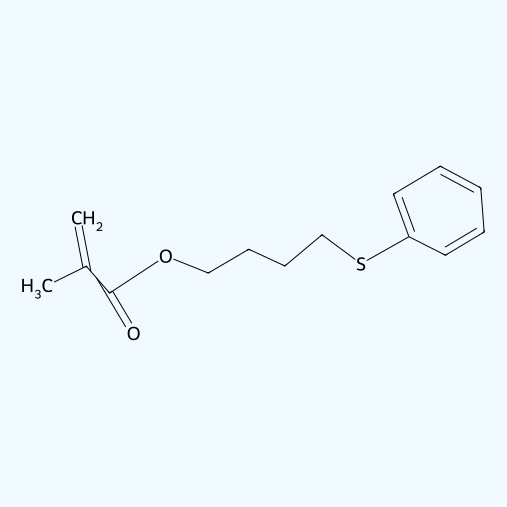 C=C(C)C(=O)OCCCCSc1ccccc1